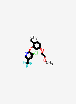 [CH2]Cc1ccc(OCCOC)cc1Oc1ncc(C(F)(F)F)cc1Cl